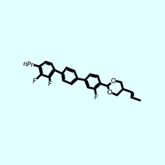 C/C=C/C1COC(c2ccc(-c3ccc(-c4ccc(CCC)c(F)c4F)cc3)cc2F)OC1